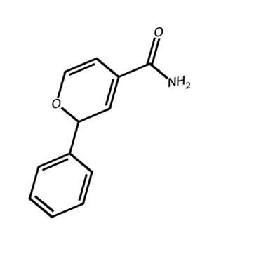 NC(=O)C1=CC(c2ccccc2)OC=C1